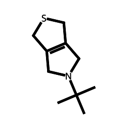 CC(C)(C)N1CC2=C(CSC2)C1